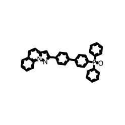 O=P(c1ccccc1)(c1ccccc1)c1ccc(-c2ccc(-c3cc4ccc5ccccc5n4n3)cc2)cc1